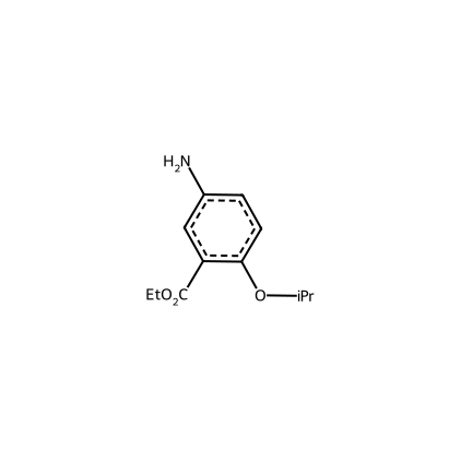 CCOC(=O)c1cc(N)ccc1OC(C)C